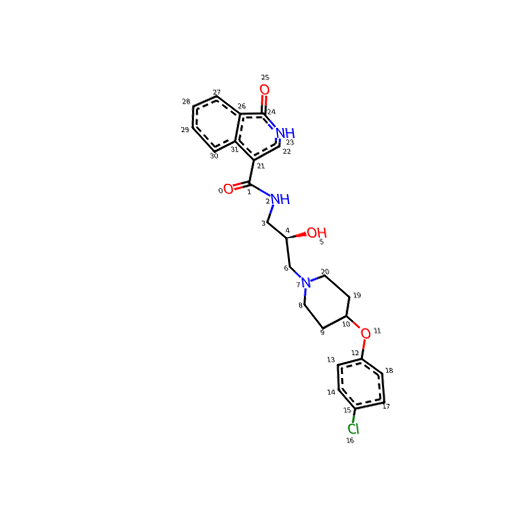 O=C(NC[C@@H](O)CN1CCC(Oc2ccc(Cl)cc2)CC1)c1c[nH]c(=O)c2ccccc12